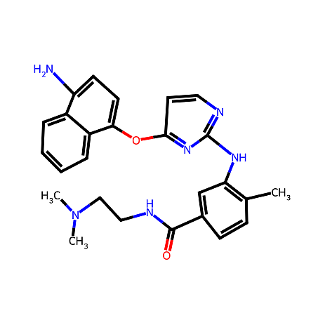 Cc1ccc(C(=O)NCCN(C)C)cc1Nc1nccc(Oc2ccc(N)c3ccccc23)n1